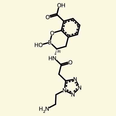 NCCn1nnnc1CC(=O)N[C@H]1Cc2cccc(C(=O)O)c2OB1O